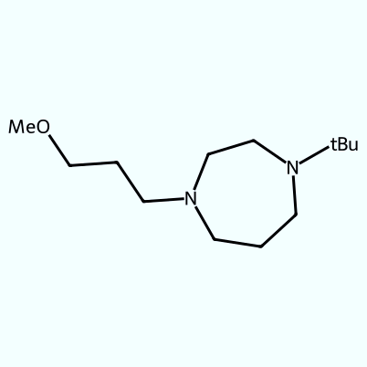 COCCCN1CCCN(C(C)(C)C)CC1